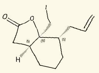 C=CC[C@@H]1CCC[C@H]2CC(=O)O[C@@]12CI